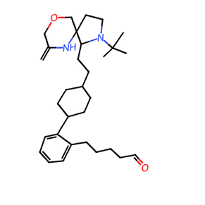 C=C1COCC2(CCN(C(C)(C)C)C2CCC2CCC(c3ccccc3CCCCC=O)CC2)N1